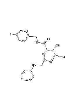 O=C(NCc1ccc(F)cc1)c1nc(CNc2ccccc2)nc(O)c1O